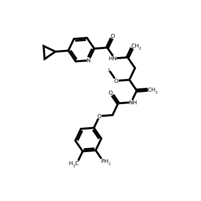 C=C(CC(OI)C(=C)NC(=O)COc1ccc(C)c(P)c1)NC(=O)c1ccc(C2CC2)cn1